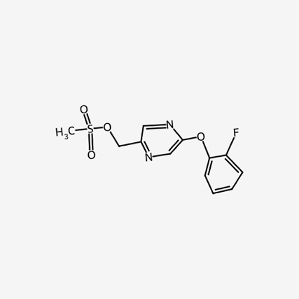 CS(=O)(=O)OCc1cnc(Oc2ccccc2F)cn1